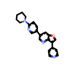 c1cc(-c2coc3cc(-c4ccc(N5CCCCC5)nc4)cnc23)ccn1